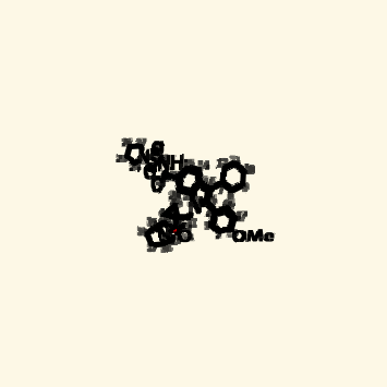 COc1ccc(-c2c(C3CCCCC3)c3ccc(C(=O)NS(=O)(=O)N4CCCC4)cc3n2CC2(C(=O)N3C4CCC3CN(C)C4)CC2)cc1